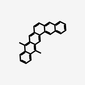 Cc1c2ccccc2c(C)c2cc3c(ccc4cc5ccccc5cc43)cc12